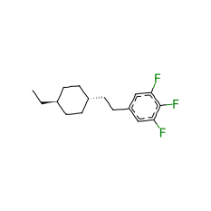 CC[C@H]1CC[C@H](CCc2cc(F)c(F)c(F)c2)CC1